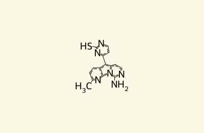 Cc1ccc2c(-c3ccnc(S)n3)c3ccnc(N)n3c2n1